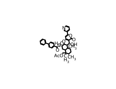 CC(=O)OCC1(C)C2C[C@H](OC(=O)c3ccc(-c4ccccc4)cc3)[C@@]3(C)Oc4cc(-c5cccnc5)oc(=O)c4[C@H](O)C3[C@@]2(C)CC[C@@H]1C